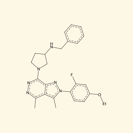 CCOc1ccc(-n2nc3c(N4CCC(NCc5ccccc5)C4)nnc(C)c3c2C)c(F)c1